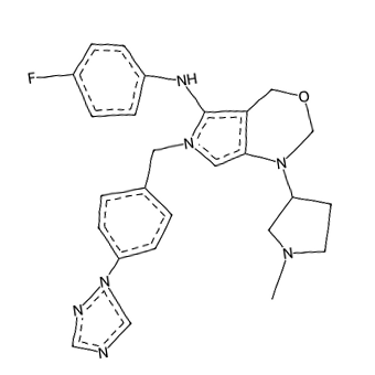 CN1CCC(N2COCc3c2cn(Cc2ccc(-n4cncn4)cc2)c3Nc2ccc(F)cc2)C1